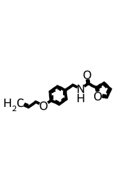 C=CCOc1ccc(CNC(=O)c2ccco2)cc1